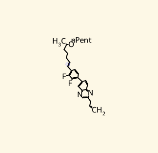 C=CCc1cnc2cc(-c3ccc(/C=C/CCCC(C)OCCCCC)c(F)c3F)ccc2n1